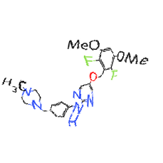 COc1cc(OC)c(F)c(COc2cnc(Nc3ccc(CN4CCN(C)CC4)cc3)nc2)c1F